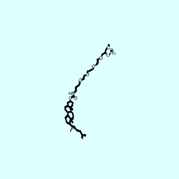 COCC(COCCOCCOCCOCCCNC(=O)OC1CCC2(C)C(=CCC3C2CCC2(C)C3CCC2[C@H](C)CCCC(C)C)C1)O[PH](C)=O